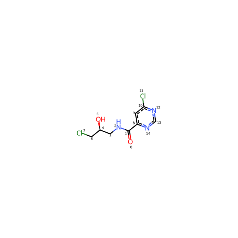 O=C(NC[C@H](O)CCl)c1cc(Cl)ncn1